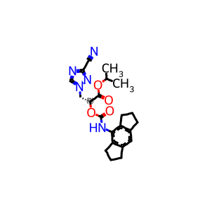 CC(C)OC(=O)[C@@H](Cn1cnc(C#N)n1)OC(=O)Nc1c2c(cc3c1CCC3)CCC2